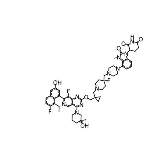 CCc1c(F)ccc2cc(O)cc(-c3ncc4c(N5CCC[C@@](C)(O)C5)nc(OCC5(CN6CCC(F)(CN7CCN(c8cccc9c8n(C)c(=O)n9C8CCC(=O)NC8=O)CC7)CC6)CC5)nc4c3F)c12